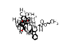 C=CCOC(=O)NC[C@@H]1Cc2c([nH]c3ccccc23)[C@@]2(CS[C@@H]3c4c(C)c(C)c5c(c4[C@H](COC2=O)N2[C@@H]3[C@H]3c4c(cc(C)c(OC)c4O)C[C@@H]([C@@H]2C#N)N3C)OCO5)N1